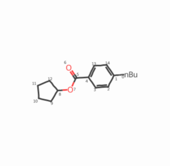 CCCCc1ccc(C(=O)OC2CCCC2)cc1